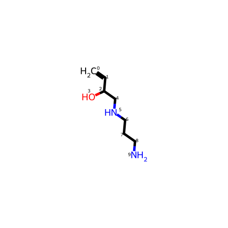 C=CC(O)CNCCCN